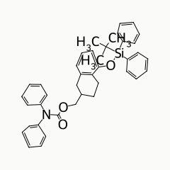 CC(C)(C)[Si](Oc1cccc2c1CCC(COC(=O)N(c1ccccc1)c1ccccc1)C2)(c1ccccc1)c1ccccc1